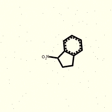 O=[N+]([O-])C1CCc2ccccc21